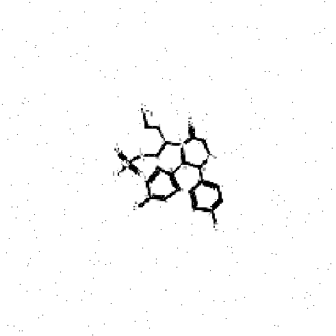 CCC[C@H](CNS(C)(=O)=O)N1C(=O)CO[C@@H](c2ccc(Cl)cc2)[C@H]1c1ccc(Cl)cc1